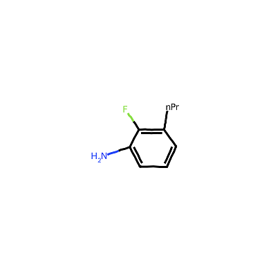 CCCc1cccc(N)c1F